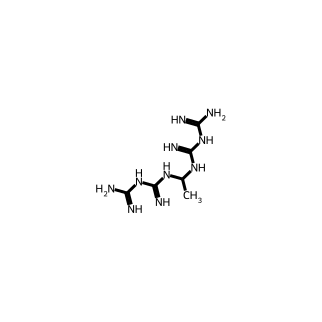 CC(NC(=N)NC(=N)N)NC(=N)NC(=N)N